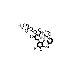 COC(=O)OCOc1c2n(ccc1=O)N(C1c3ccc(F)c(F)c3CSc3cccnc31)C1COCCN1C2=O